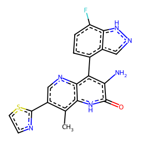 Cc1c(-c2nccs2)cnc2c(-c3ccc(F)c4[nH]ncc34)c(N)c(=O)[nH]c12